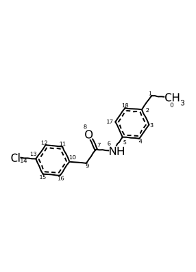 CCc1ccc(NC(=O)Cc2ccc(Cl)cc2)cc1